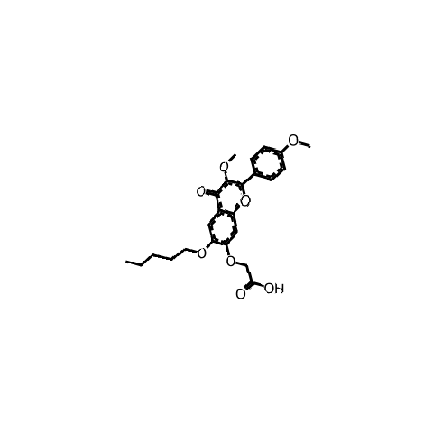 CCCCCOc1cc2c(=O)c(OC)c(-c3ccc(OC)cc3)oc2cc1OCC(=O)O